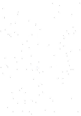 CCCCCCCCCCCN1CCCC1CC.O=S(=O)(O)C(F)(F)F